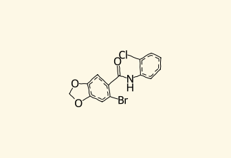 O=C(Nc1ccccc1Cl)c1cc2c(cc1Br)OCO2